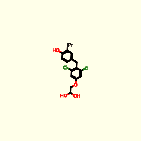 CC(C)c1cc(Cc2c(Cl)cc(OCC(O)O)cc2Cl)ccc1O